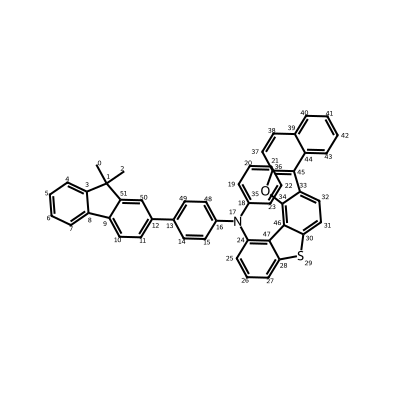 CC1(C)c2ccccc2-c2ccc(-c3ccc(N(c4ccccc4)c4cccc5sc6ccc7c(oc8ccc9ccccc9c87)c6c45)cc3)cc21